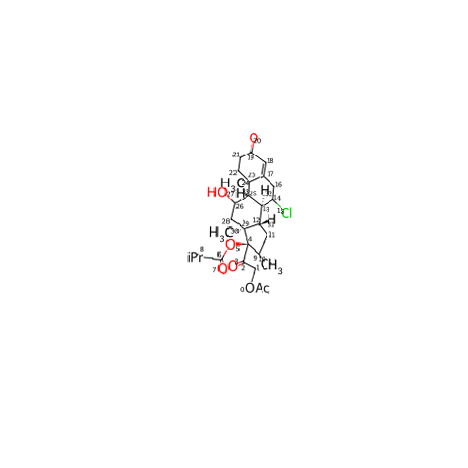 CC(=O)OCC(=O)[C@@]1(OC(=O)C(C)C)C(C)C[C@H]2[C@@H]3C(Cl)CC4=CC(=O)CC[C@]4(C)[C@H]3C(O)C[C@@]21C